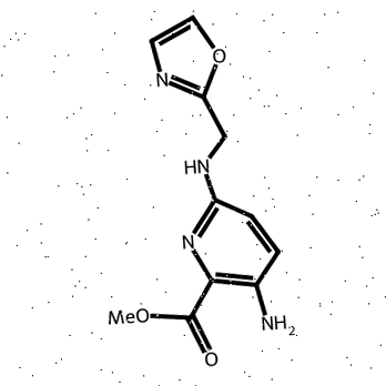 COC(=O)c1nc(NCc2ncco2)ccc1N